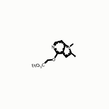 CCOC(=O)COc1nccc2c1cc(C)n2C